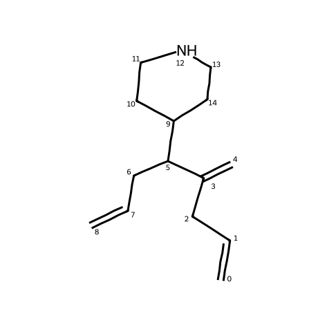 C=CCC(=C)C(CC=C)C1CCNCC1